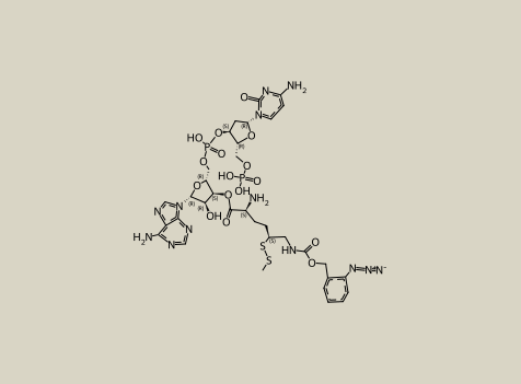 CSS[C@@H](CC[C@H](N)C(=O)O[C@H]1[C@@H](O)[C@H](n2cnc3c(N)ncnc32)O[C@@H]1COP(=O)(O)O[C@H]1C[C@H](n2ccc(N)nc2=O)O[C@@H]1COP(=O)(O)O)CNC(=O)OCc1ccccc1N=[N+]=[N-]